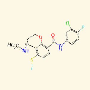 O=C(O)N[C@@H]1CCOc2c(C(=O)Nc3ccc(F)c(Cl)c3)ccc(SF)c21